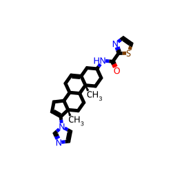 C[C@]12CCC(NC(=O)c3nccs3)CC1=CCC1C2CC[C@]2(C)C(n3ccnc3)=CCC12